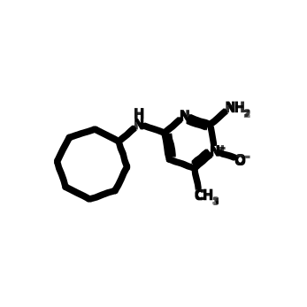 Cc1cc(NC2CCCCCCC2)nc(N)[n+]1[O-]